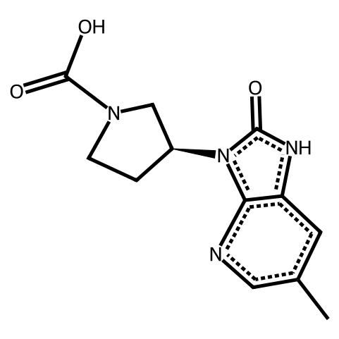 Cc1cnc2c(c1)[nH]c(=O)n2[C@H]1CCN(C(=O)O)C1